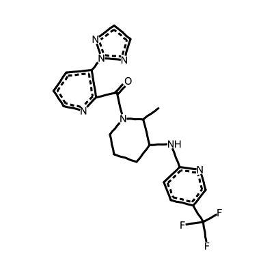 CC1C(Nc2ccc(C(F)(F)F)cn2)CCCN1C(=O)c1ncccc1-n1nccn1